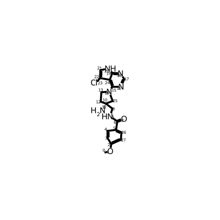 COc1ccc(C(=O)NC[C@@]2(N)CCN(c3ncnc4[nH]cc(Cl)c34)C2)cc1